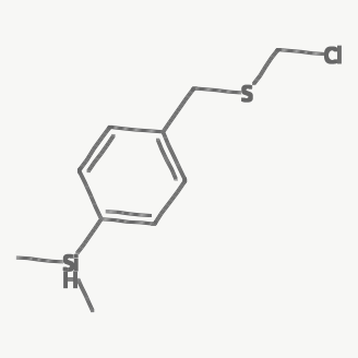 C[SiH](C)c1ccc(CSCCl)cc1